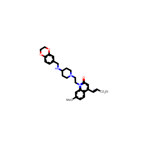 CCOC(=O)/C=C/c1cc(=O)n(CCN2CCC(NCc3ccc4c(c3)OCCO4)CC2)c2cc(OC)ccc12